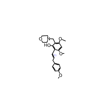 COc1ccc(C/C=C/c2c(OC)cc(OC)c(CN3CCOCC3)c2O)cc1